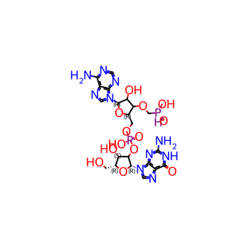 Nc1nc2c(ncn2[C@@H]2O[C@H](CO)[C@H](O)C2OP(=O)(O)OC[C@H]2O[C@@H](n3cnc4c(N)ncnc43)C(O)C2OC[PH](=O)O)c(=O)[nH]1